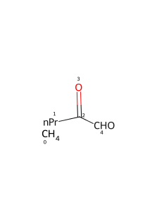 C.CCCC(=O)C=O